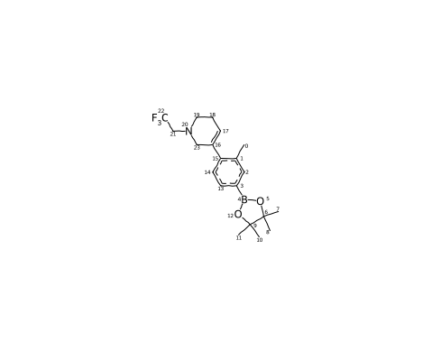 Cc1cc(B2OC(C)(C)C(C)(C)O2)ccc1C1=CCCN(CC(F)(F)F)C1